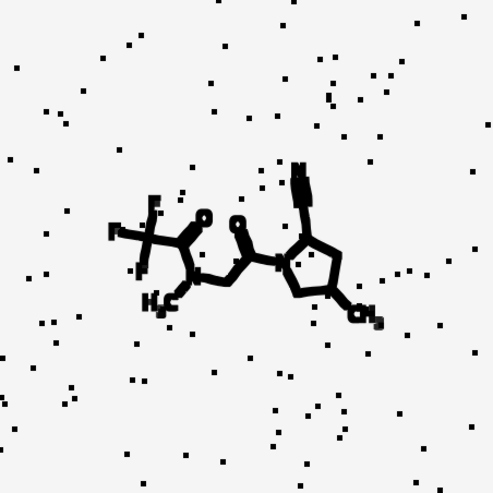 CC1CC(C#N)N(C(=O)CN(C)C(=O)C(F)(F)F)C1